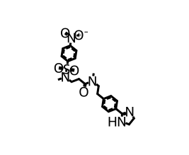 CN(CCc1ccc(C2=NCCN2)cc1)C(=O)CCN(C)S(=O)(=O)c1ccc([N+](=O)[O-])cc1